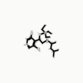 CC[Si](CC)(CC)OC(CNC(C)CC(C)C)c1c(Cl)cncc1Cl